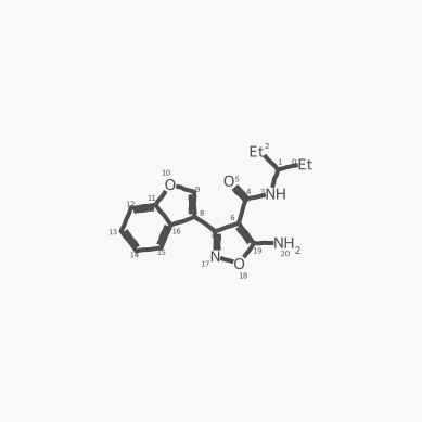 CCC(CC)NC(=O)c1c(-c2coc3ccccc23)noc1N